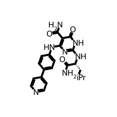 CC(C)C[C@@H](Nc1nc(Nc2ccc(-c3ccncc3)cc2)c(C(N)=O)c(=O)[nH]1)C(N)=O